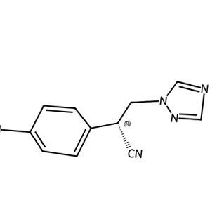 N#C[C@@H](Cn1cncn1)c1ccc(Cl)cc1